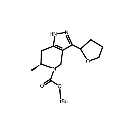 C[C@H]1Cc2[nH]nc(C3CCCO3)c2CN1C(=O)OC(C)(C)C